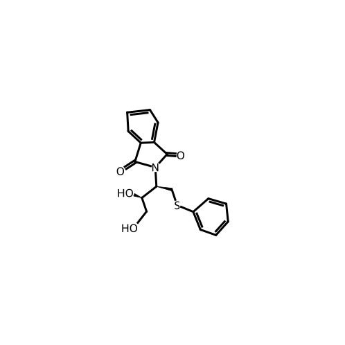 O=C1c2ccccc2C(=O)N1[C@@H](CSc1ccccc1)[C@H](O)CO